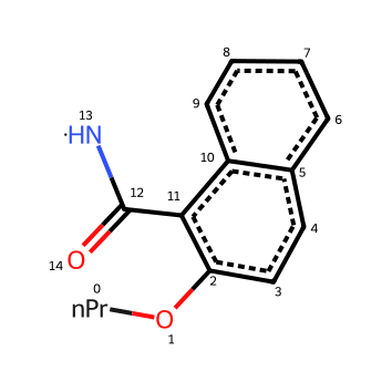 CCCOc1ccc2ccccc2c1C([NH])=O